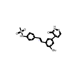 CC(C)(C)c1cc(/C=C/c2ccc(NS(C)(=O)=O)cc2)cc(-c2ccn[nH]c2=O)c1